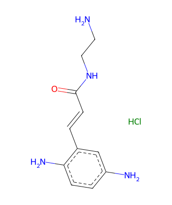 Cl.NCCNC(=O)/C=C/c1cc(N)ccc1N